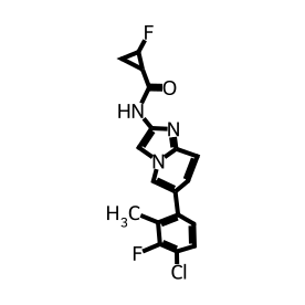 Cc1c(-c2ccc3nc(NC(=O)C4CC4F)cn3c2)ccc(Cl)c1F